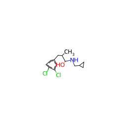 CC(Cc1ccc(Cl)c(Cl)c1)C(O)NCC1CC1